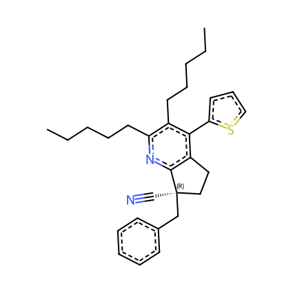 CCCCCc1nc2c(c(-c3cccs3)c1CCCCC)CC[C@@]2(C#N)Cc1ccccc1